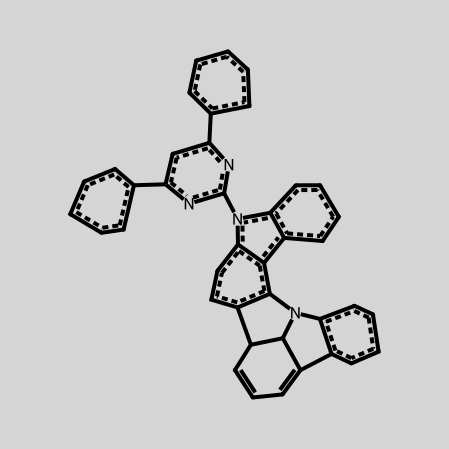 C1=CC2c3ccc4c(c3N3c5ccccc5C(=C1)C23)c1ccccc1n4-c1nc(-c2ccccc2)cc(-c2ccccc2)n1